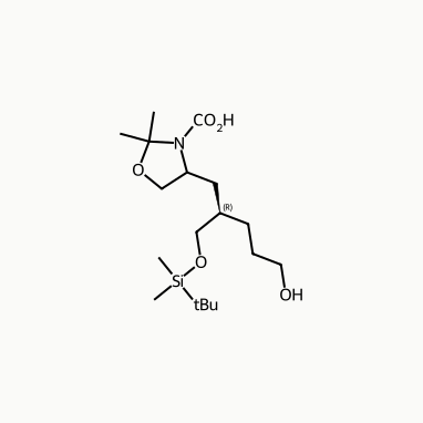 CC1(C)OCC(C[C@@H](CCCO)CO[Si](C)(C)C(C)(C)C)N1C(=O)O